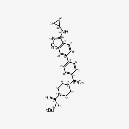 CC(C)(C)OC(=O)N1CCN(C(=O)c2ccc(-c3ccc4c(NC5CC5)noc4c3)cc2)CC1